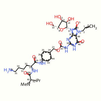 C=CCn1c(=O)n([C@@H]2O[C@H](CO)[C@@H](O)[C@H]2O)c2nc(NC(=O)OCc3ccc(NC(=O)[C@H](CCCCN)NC(=O)C(NC)C(C)C)cc3)[nH]c(=O)c21